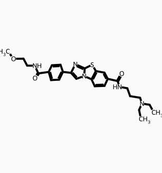 CCN(CC)CCCNC(=O)c1ccc2c(c1)sc1nc(-c3ccc(C(=O)NCCOC)cc3)cn12